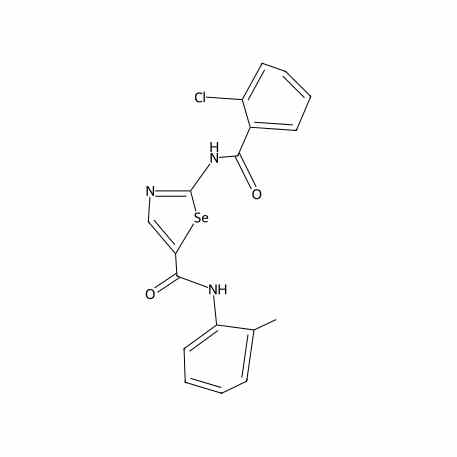 Cc1ccccc1NC(=O)c1cnc(NC(=O)c2ccccc2Cl)[se]1